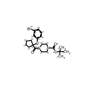 CC(C)(C)OC(=O)N1CCN(C(=O)C2(Oc3cccc(Br)c3)CCCC2)CC1